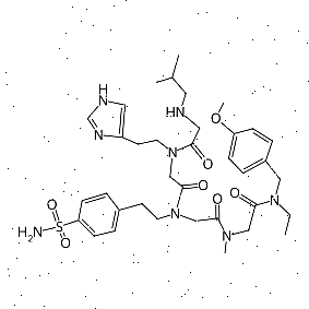 CCN(Cc1ccc(OC)cc1)C(=O)CN(C)C(=O)CN(CCc1ccc(S(N)(=O)=O)cc1)C(=O)CN(CCc1c[nH]cn1)C(=O)CNCC(C)C